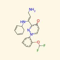 NC/C=C(\NC1C=CC=CC1)c1nn(-c2ccccc2OC(F)F)ccc1=O